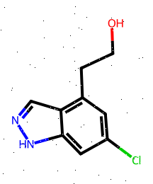 OCCc1cc(Cl)cc2[nH]ncc12